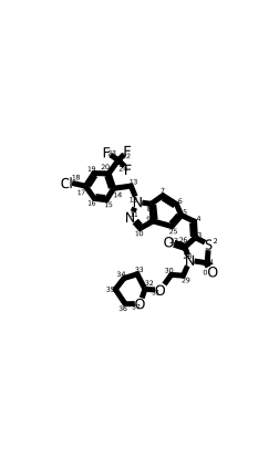 O=C1SC(=Cc2ccc3c(cnn3Cc3ccc(Cl)cc3C(F)(F)F)c2)C(=O)N1CCOC1CCCCO1